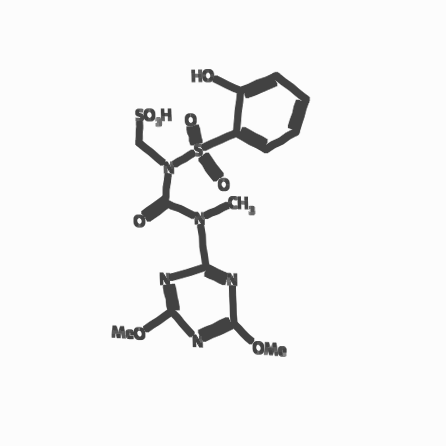 COc1nc(OC)nc(N(C)C(=O)N(CS(=O)(=O)O)S(=O)(=O)c2ccccc2O)n1